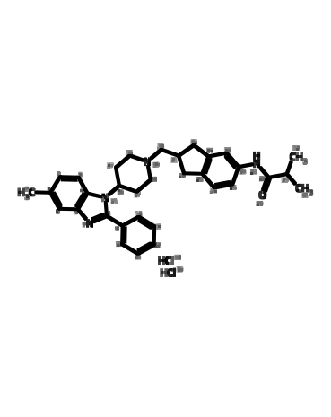 Cc1ccc2c(c1)nc(-c1ccccc1)n2C1CCN(CC2Cc3ccc(NC(=O)C(C)C)cc3C2)CC1.Cl.Cl